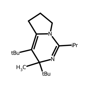 CC(C)C1=NC(C)(C(C)(C)C)C(C(C)(C)C)=C2CCCN12